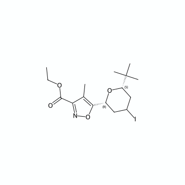 CCOC(=O)c1noc([C@H]2CC(I)C[C@@H](C(C)(C)C)O2)c1C